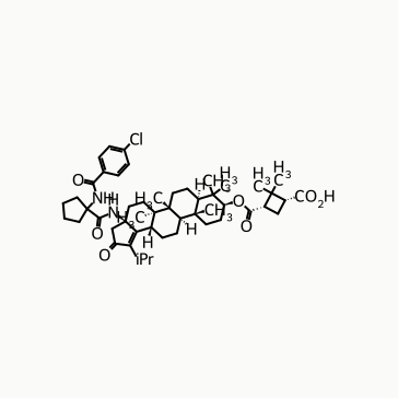 CC(C)C1=C2[C@H]3CC[C@@H]4[C@@]5(C)CC[C@H](OC(=O)[C@H]6C[C@@H](C(=O)O)C6(C)C)C(C)(C)[C@@H]5CC[C@@]4(C)[C@]3(C)CC[C@@]2(NC(=O)C2(NC(=O)c3ccc(Cl)cc3)CCCC2)CC1=O